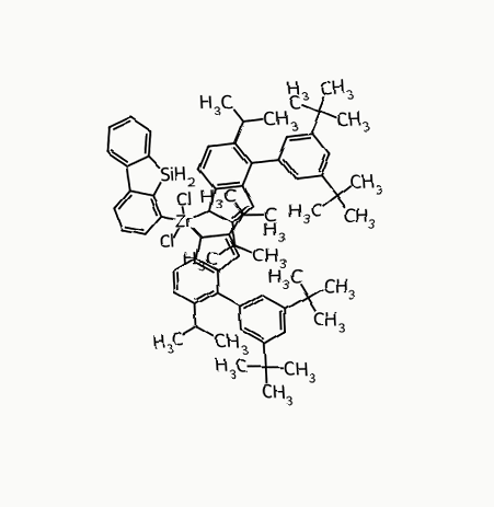 CC(C)C1=Cc2c(ccc(C(C)C)c2-c2cc(C(C)(C)C)cc(C(C)(C)C)c2)[CH]1[Zr]([Cl])([Cl])([c]1cccc2c1[SiH2]c1ccccc1-2)[CH]1C(C(C)C)=Cc2c1ccc(C(C)C)c2-c1cc(C(C)(C)C)cc(C(C)(C)C)c1